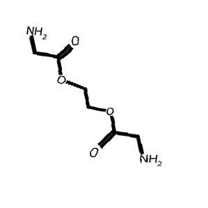 NCC(=O)OCCOC(=O)CN